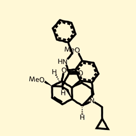 COc1ccc2c3c1O[C@H]1[C@@]4(OC)C=C[C@@]5(C[C@@H]4C(=O)NCc4ccccc4)[C@@H](C2)N(CC2CC2)CC[C@]315